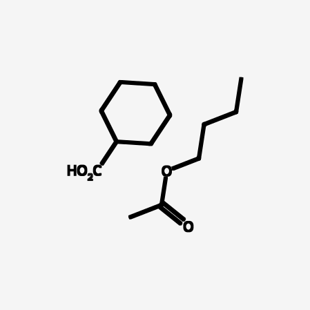 CCCCOC(C)=O.O=C(O)C1CCCCC1